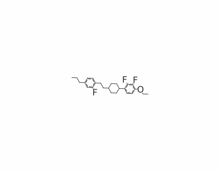 CCCc1ccc(CCC2CCC(c3ccc(OCC)c(F)c3F)CC2)c(F)c1